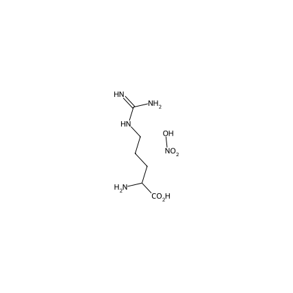 N=C(N)NCCCC(N)C(=O)O.O=[N+]([O-])O